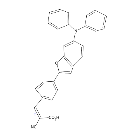 N#C/C(=C/c1ccc(-c2cc3ccc(N(c4ccccc4)c4ccccc4)cc3o2)cc1)C(=O)O